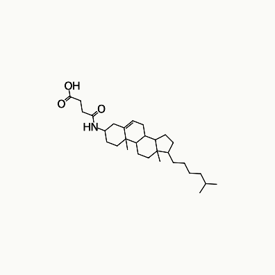 CC(C)CCCCC1CCC2C3CC=C4CC(NC(=O)CCC(=O)O)CCC4(C)C3CCC12C